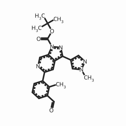 Cc1c(C=O)cccc1-c1cc2c(-c3cnn(C)c3)nn(C(=O)OC(C)(C)C)c2cn1